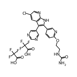 NC(=O)NCCOc1ccc(-c2[nH]c3ncc(Cl)cc3c2-c2cncnc2)cn1.O=C(O)C(F)(F)F.O=C(O)C(F)(F)F